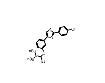 CCCCN(CCCC)C(CC)Oc1cccc(-c2csc(-c3ccc(Cl)cc3)n2)c1